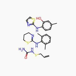 C=CCSNC(N)=O.Cc1ccc(Nc2nccs2)c(O)c1.Cc1cccc(C)c1NC1=NCCCS1